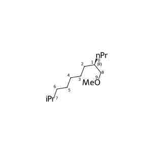 CCC[C@H](CCCCCC(C)C)COC